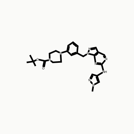 Cn1cc(Nc2ncc3cnn(Cc4cccc(N5CCN(C(=O)OC(C)(C)C)CC5)c4)c3n2)cn1